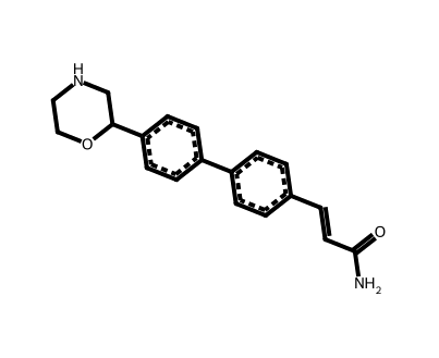 NC(=O)C=Cc1ccc(-c2ccc(C3CNCCO3)cc2)cc1